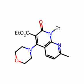 CCOC(=O)c1c(N2CCOCC2)c2ccc(C)nc2n(CC)c1=O